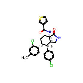 Cc1ccc([C@@H]2CC[C@@]3(NC(=O)c4ccsc4)C(=O)NC[C@H]3[C@H]2c2ccc(Cl)cc2)c(Cl)c1